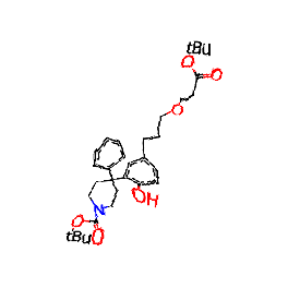 CC(C)(C)OC(=O)CCOCCCc1ccc(O)c(C2(c3ccccc3)CCN(C(=O)OC(C)(C)C)CC2)c1